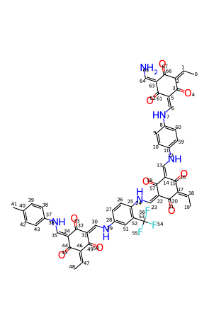 C/C=C1\C(=O)/C(=C/Nc2ccc(N/C=C3\C(=O)/C(=C/C)C(=O)/C(=C/Nc4ccc(N/C=C5/C(=O)/C(=C\Nc6ccc(C)cc6)C(=O)/C(=C\C)C5=O)cc4C(F)(F)F)C3=O)cc2)C(=O)/C(=C/N)C1=O